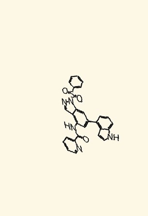 O=C(Nc1cc(-c2cccc3[nH]ccc23)cc2c1cnn2S(=O)(=O)c1ccccc1)c1ccccn1